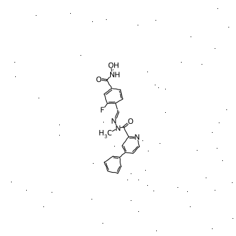 CN(/N=C/c1ccc(C(=O)NO)cc1F)C(=O)c1cc(-c2ccccc2)ccn1